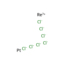 [Cl-].[Cl-].[Cl-].[Cl-].[Cl-].[Cl-].[Cl-].[Pt].[Re+7]